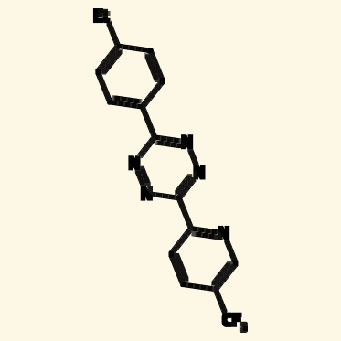 CCc1ccc(-c2nnc(-c3ccc(C(F)(F)F)cn3)nn2)cc1